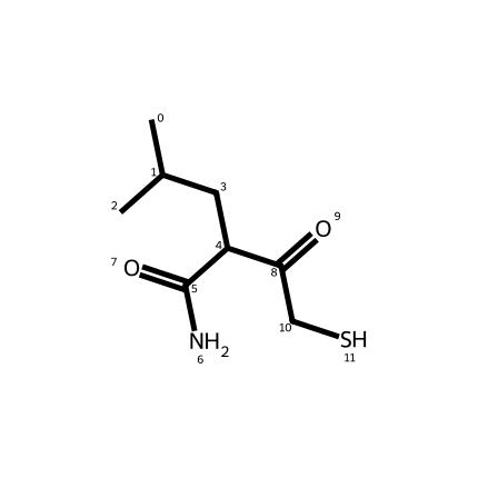 CC(C)CC(C(N)=O)C(=O)CS